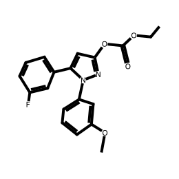 CCOC(=O)Oc1cc(-c2cccc(F)c2)n(-c2cccc(OC)c2)n1